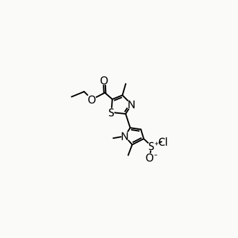 CCOC(=O)c1sc(-c2cc([S+]([O-])Cl)c(C)n2C)nc1C